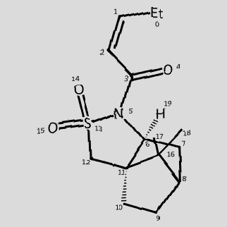 CC/C=C\C(=O)N1[C@H]2CC3CC[C@@]2(CS1(=O)=O)C3(C)C